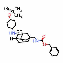 CC(C)(C)[Si](C)(C)O[C@H]1CC[C@@H](N[C@@H]2[C@@H]3CC4C[C@H]2C[C@@](CNC(=O)OCc2ccccc2)(C4)C3)CC1